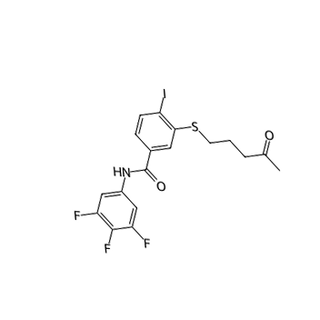 CC(=O)CCCSc1cc(C(=O)Nc2cc(F)c(F)c(F)c2)ccc1I